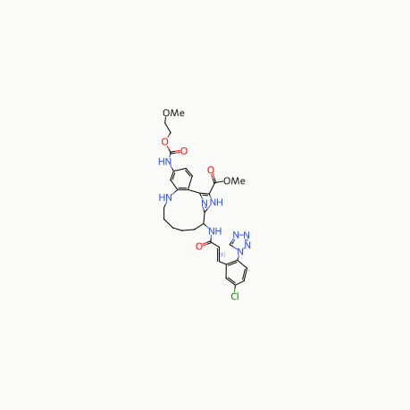 COCCOC(=O)Nc1ccc2c(c1)NCCCCCC(NC(=O)/C=C/c1cc(Cl)ccc1-n1cnnn1)c1nc-2c(C(=O)OC)[nH]1